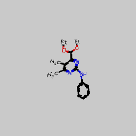 CCOC(OCC)c1nc(Nc2ccccc2)nc(C)c1C